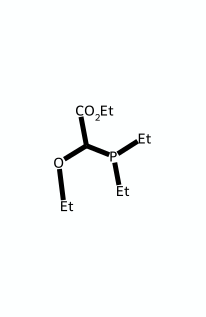 CCOC(=O)C(OCC)P(CC)CC